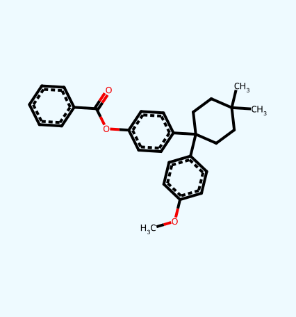 COc1ccc(C2(c3ccc(OC(=O)c4ccccc4)cc3)CCC(C)(C)CC2)cc1